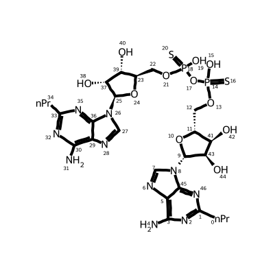 CCCc1nc(N)c2ncn([C@@H]3O[C@H](COP(O)(=S)OP(O)(=S)OC[C@H]4O[C@@H](n5cnc6c(N)nc(CCC)nc65)[C@H](O)[C@@H]4O)[C@@H](O)[C@H]3O)c2n1